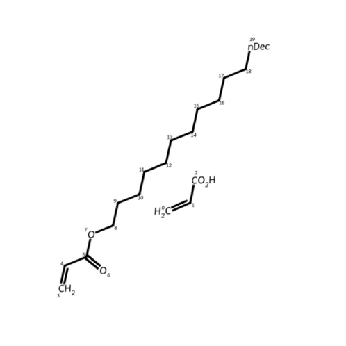 C=CC(=O)O.C=CC(=O)OCCCCCCCCCCCCCCCCCCCCC